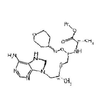 CC(C)OC(=O)[C@H](C)NP(CO[C@H](C)CN1CNc2c(N)ncnc21)ON=C1CCOCC1